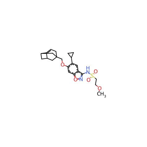 COCCS(=O)(=O)Nc1noc2cc(OCC34CC=C5C(CC5C3)C4)c(C3CC3)cc12